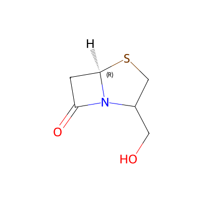 O=C1C[C@H]2SCC(CO)N12